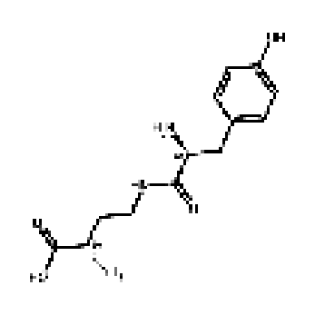 N[C@@H](CCNC(=O)[C@@H](N)Cc1ccc(O)cc1)C(=O)O